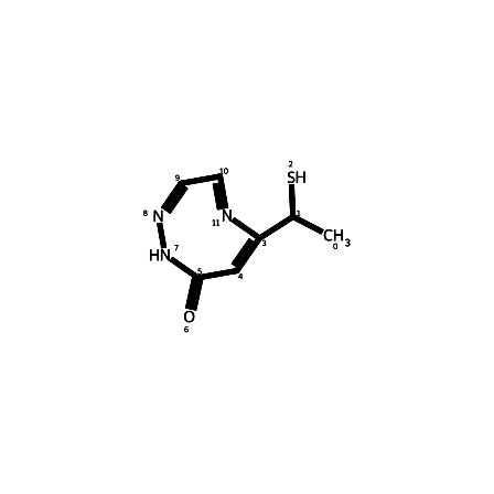 CC(S)C1=C\C(=O)N\N=C/C=N/1